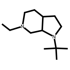 CCN1CCC2CCN(C(C)(C)C)C2C1